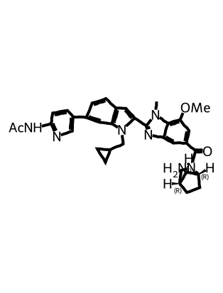 COc1cc(C(=O)N2C[C@H]3CC[C@@H]2[C@@H]3N)cc2nc(-c3cc4ccc(-c5ccc(NC(C)=O)nc5)cc4n3CC3CC3)n(C)c12